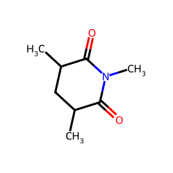 CC1CC(C)C(=O)N(C)C1=O